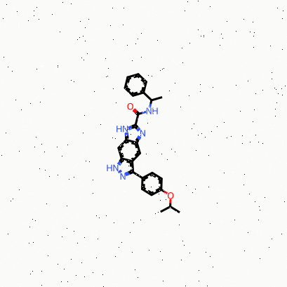 CC(C)Oc1ccc(-c2n[nH]c3cc4[nH]c(C(=O)NC(C)c5ccccc5)nc4cc23)cc1